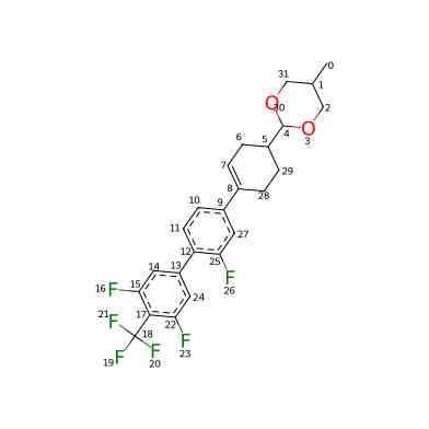 CC1COC(C2CC=C(c3ccc(-c4cc(F)c(C(F)(F)F)c(F)c4)c(F)c3)CC2)OC1